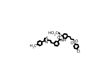 Cc1ccc(-c2csc(C=Cc3cccc(C(=O)Nc4cc(CCCS(=O)(=O)c5ccc(Cl)cc5)ccc4OCC(=O)O)c3)n2)cc1